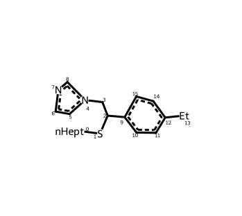 CCCCCCCSC(Cn1ccnc1)c1ccc(CC)cc1